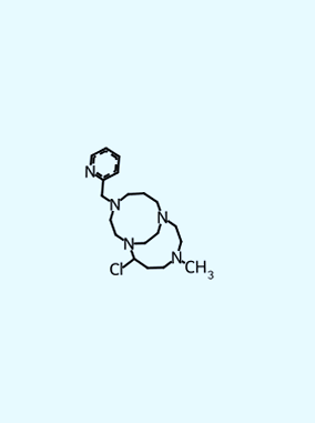 CN1CCC(Cl)N2CCN(CCCN(Cc3ccccn3)CC2)CC1